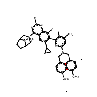 COc1ccc(CN(Cc2ccc(OC)cc2)c2cc(C)c(I)c(-c3c(C4CC4)cc4c(N5CC6CCC(C5)N6C(=O)O)nc(F)nc4c3F)n2)cc1